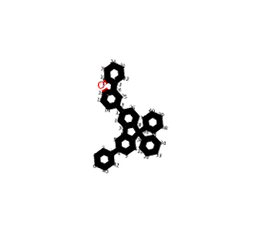 c1ccc(-c2ccc3c(c2)-c2cc(-c4ccc5oc6ccccc6c5c4)ccc2C3(c2ccccc2)c2ccccc2)cc1